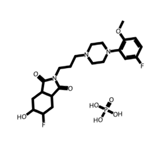 COc1ccc(F)cc1N1CCN(CCCN2C(=O)C3CC(O)C(F)CC3C2=O)CC1.O=P(O)(O)O